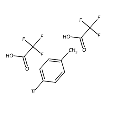 Cc1cc[c]([Tl])cc1.O=C(O)C(F)(F)F.O=C(O)C(F)(F)F